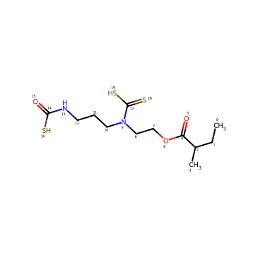 CCC(C)C(=O)OCCN(CCCNC(=O)S)C(=S)S